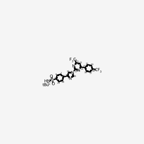 CC(C)(C)NS(=O)(=O)c1ccc(-c2cn(-c3nc(-c4ccc(C(F)(F)F)cc4)cc(C(F)(F)F)n3)cn2)cc1